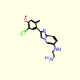 COc1cc(C)c(-c2cn3cc(NCCN)ccc3n2)cc1Cl